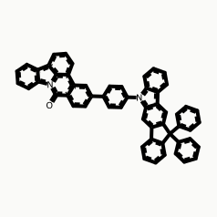 O=c1c2ccc(-c3ccc(-n4c5ccccc5c5cc6c(cc54)-c4ccccc4C6(c4ccccc4)c4ccccc4)cc3)cc2c2cccc3c4ccccc4n1c23